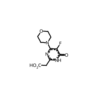 O=C(O)Cc1nc(N2CCOCC2)c(F)c(=O)[nH]1